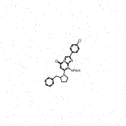 CCCCCn1c(N2CCCC2Cc2ccccc2)cc(=O)n2cc(-c3ccc(Cl)cc3)nc12